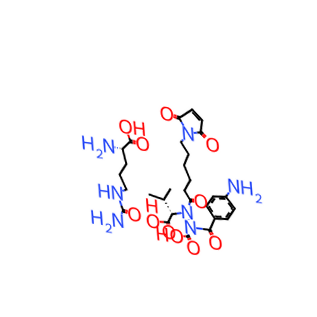 CC(C)[C@@H](C(=O)O)N(C(=O)CCCCCN1C(=O)C=CC1=O)N(C(=O)O)C(=O)c1ccc(N)cc1.NC(=O)NCCC[C@H](N)C(=O)O